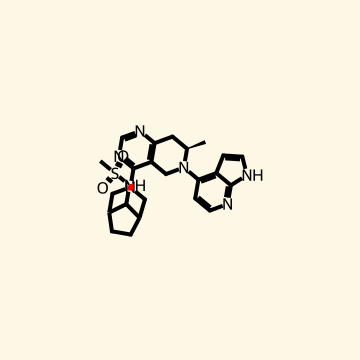 C[C@@H]1Cc2ncnc(N3CC4CCC(C3)C4NS(C)(=O)=O)c2CN1c1ccnc2[nH]ccc12